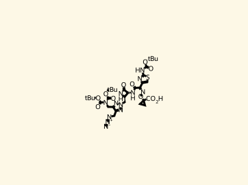 CC(C)(C)OC(=O)Nc1nc(C(=NOC2(C(=O)O)CC2)C(=O)N[C@@H]2C(=O)N[C@@H]2Cn2nc(CN=[N+]=[N-])c(CN(C(=O)OC(C)(C)C)C(=O)OC(C)(C)C)n2)cs1